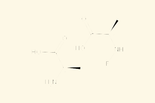 C[C@@H](N)C(=O)O.C[C@@H](NF)C(=O)O